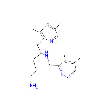 Cc1cnc(CC(CCCN)NCc2nccc(C)c2C)c(C)c1